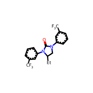 CCC1CN(c2cccc(C(F)(F)F)c2)C(=O)N1c1cccc(C(F)(F)F)c1